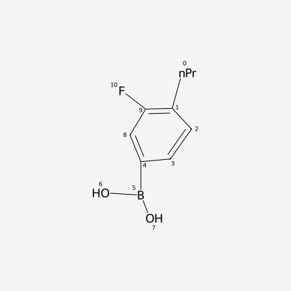 CCCc1ccc(B(O)O)cc1F